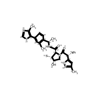 Cc1cc([C@H](C(=O)N2C[C@H](O)[C@H](F)[C@H]2C(=O)N[C@@H](C)c2ccc(-c3scnc3C)cc2C)C(C)C)on1